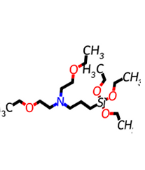 CCOCCN(CCC[Si](OCC)(OCC)OCC)CCOCC